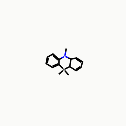 CN1c2ccccc2[Si](C)(C)C2C=CC=CC21